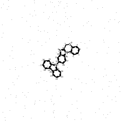 c1ccc2c(c1)SCc1nc3cc(-n4c5ccccc5c5ccccc54)ccc3n1-2